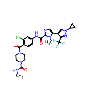 CNC(=O)N1CCN(C(=O)c2ccc(NC(=O)c3ncc(-c4cn(C5CC5)nc4C(F)(F)F)n3C)cc2Cl)CC1